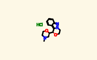 CN1CCO[C@@H]([C@H]2OCCn3nc4ccccc4c32)C1.Cl